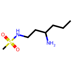 CCCC(N)CCNS(C)(=O)=O